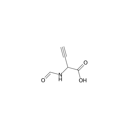 C#CC(NC=O)C(=O)O